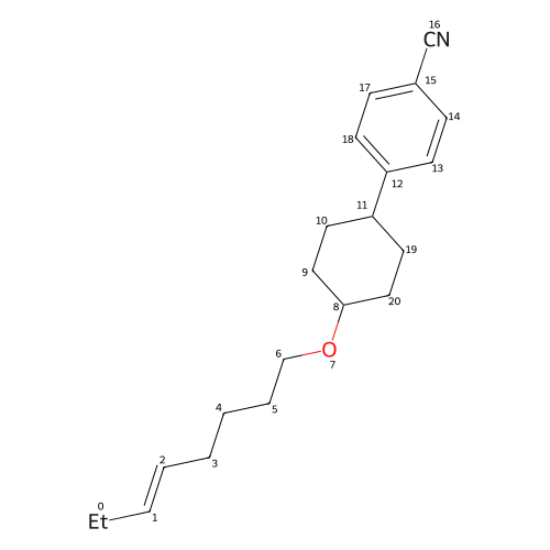 CC/C=C/CCCCOC1CCC(c2ccc(C#N)cc2)CC1